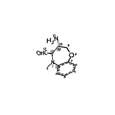 CN1c2ccccc2OC[C@@H](N)C1C=O